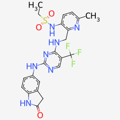 CCS(=O)(=O)Nc1ccc(C)nc1CNc1nc(Nc2ccc3c(c2)CC(=O)N3)ncc1C(F)(F)F